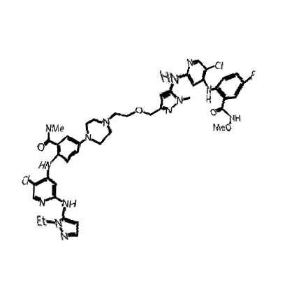 CCn1nccc1Nc1cc(Nc2ccc(N3CCN(CCOCc4cc(Nc5cc(Nc6ccc(F)cc6C(=O)NOC)c(Cl)cn5)n(C)n4)CC3)cc2C(=O)NC)c(Cl)cn1